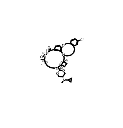 C[C@@H]1[C@@H](C)CCC[C@H]([C@H]2OC[C@@H](N(C)C3CC3)CO2)[C@@H]2CC[C@H]2CN2CCCCc3cc(Cl)ccc3COc3ccc(cc32)C(=O)NS1(=O)=O